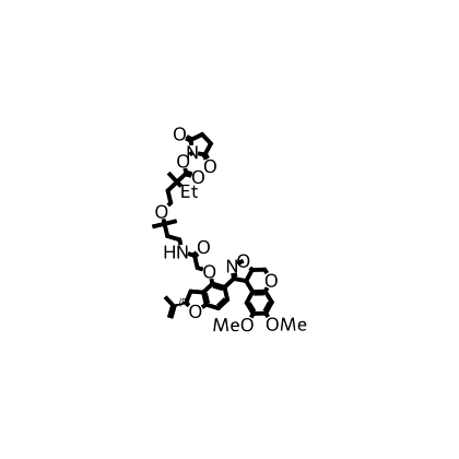 C=C(C)[C@H]1Cc2c(ccc(C3=NOC4COc5cc(OC)c(OC)cc5C34)c2OCC(=O)NCCC(C)(C)OCCC(C)(CC)C(=O)ON2C(=O)CCC2=O)O1